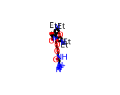 CCN(CC)c1ccc2c(c1)Oc1cc(N(CC)CC)ccc1C21c2ccccc2C(=O)N1CCOCCOCCNC(=O)CCN=[N+]=[N-]